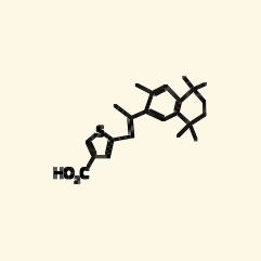 CC(=Cc1cc(C(=O)O)cs1)c1cc2c(cc1C)C(C)(C)CCC2(C)C